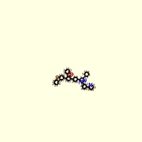 c1ccc(-c2cc(-c3ccc(-c4ccc(-c5ccc6sc7ccccc7c6c5)c5c4oc4ccccc45)cc3)nc(-c3cccc(-c4ccccn4)c3)n2)cc1